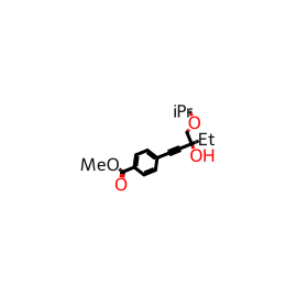 CCC(O)(C#Cc1ccc(C(=O)OC)cc1)COC(C)C